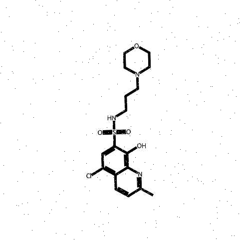 Cc1ccc2c(Cl)cc(S(=O)(=O)NCCCN3CCOCC3)c(O)c2n1